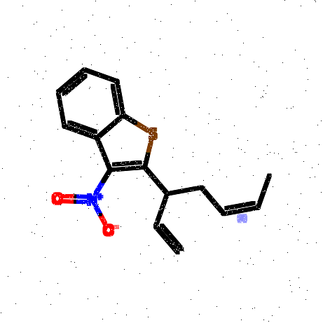 C=CC(C/C=C\C)c1sc2ccccc2c1[N+](=O)[O-]